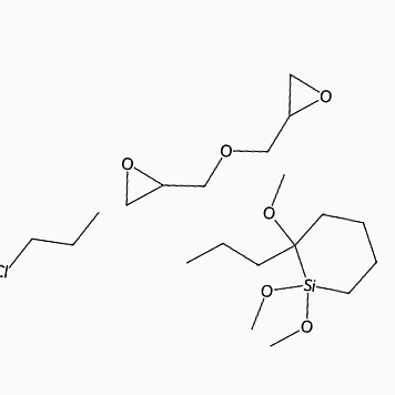 C(OCC1CO1)C1CO1.CCCC1(OC)CCCC[Si]1(OC)OC.CCCCl